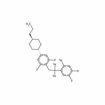 [2H]c1cc(F)c(F)cc1C([2H])([2H])Cc1c(F)cc([C@H]2CC[C@H](CCC)CC2)cc1F